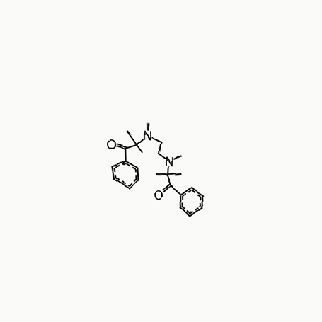 CN(CCN(C)C(C)(C)C(=O)c1ccccc1)C(C)(C)C(=O)c1ccccc1